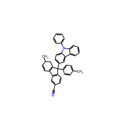 Cc1ccc(C2(c3ccc4c(c3)c3ccccc3n4-c3ccccc3)C3=C(C=CC(C)C3)c3cc(C#N)ccc32)cc1